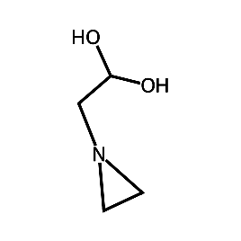 OC(O)CN1CC1